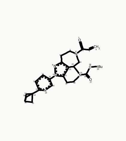 C=CC(=O)N1CCc2nn(-c3ccc(C45CC(C4)C5)nc3)c3c2C(C1)N(C(=O)OC(C)(C)C)CC3